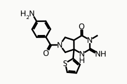 CN1C(=N)NC2(c3cccs3)CN(C(=O)c3ccc(N)cc3)CC2C1=O